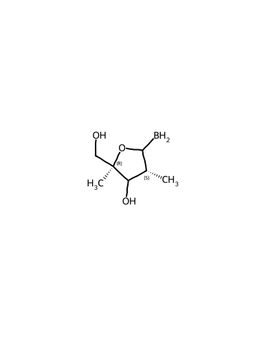 BC1O[C@](C)(CO)C(O)[C@H]1C